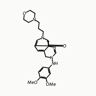 COc1ccc(NN2C=NC34CC(=O)CC=C3N(CCCN3CCOCC3)C=CC=C4C2)cc1OC